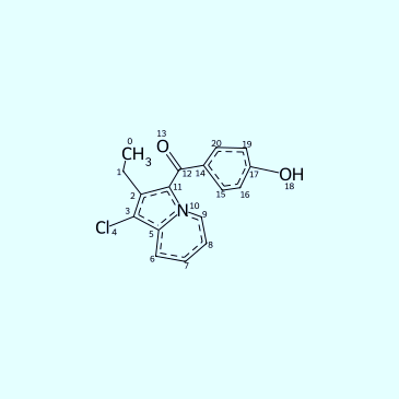 CCc1c(Cl)c2ccccn2c1C(=O)c1ccc(O)cc1